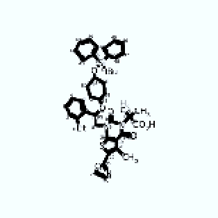 CCc1ccccc1[C@H](Cn1c(=O)n(C(C)(C)C(=O)O)c(=O)c2c(C)c(-c3ncco3)sc21)OC1CCC(O[Si](c2ccccc2)(c2ccccc2)C(C)(C)C)CC1